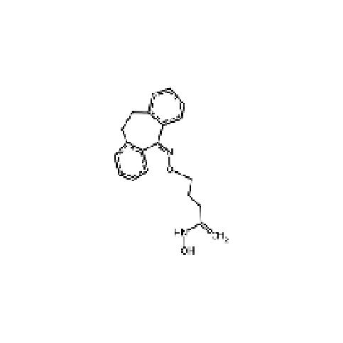 C=C(CCCON=C1c2ccccc2CCc2ccccc21)NO